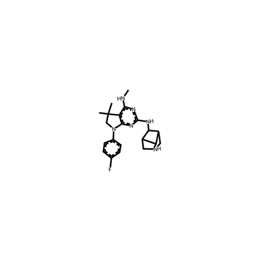 CNc1nc(NC2C3CNCC2C3C)nc2c1C(C)(C)CN2c1ccc(F)cc1